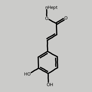 CCCCCCCOC(=O)C=Cc1ccc(O)c(O)c1